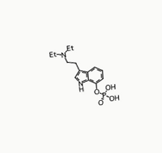 CCN(CC)CCc1c[nH]c2c(OP(=O)(O)O)cccc12